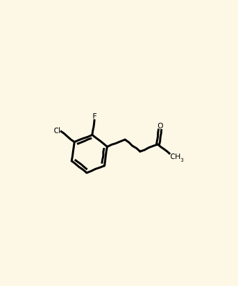 CC(=O)CCc1cccc(Cl)c1F